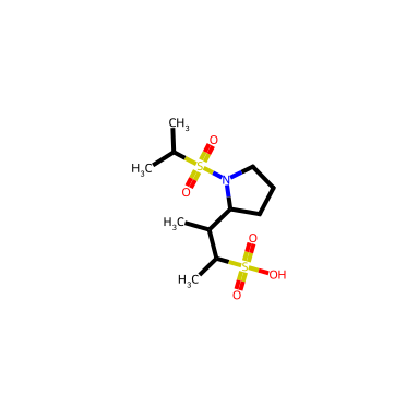 CC(C1CCCN1S(=O)(=O)C(C)C)C(C)S(=O)(=O)O